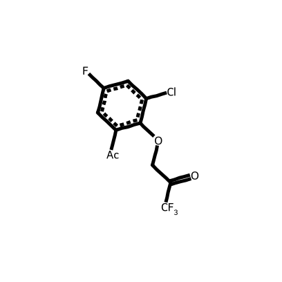 CC(=O)c1cc(F)cc(Cl)c1OCC(=O)C(F)(F)F